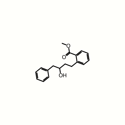 COC(=O)c1ccccc1CCC(O)Cc1ccccc1